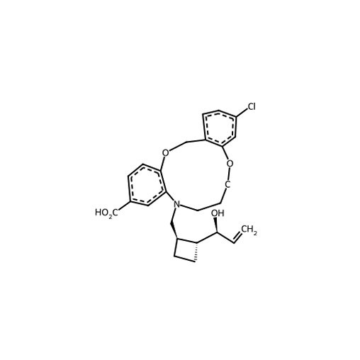 C=C[C@H](O)[C@@H]1CC[C@H]1CN1CCCOc2cc(Cl)ccc2COc2ccc(C(=O)O)cc21